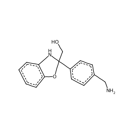 NCc1ccc(C2(CO)Nc3ccccc3O2)cc1